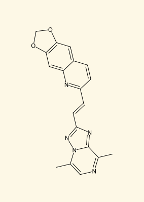 Cc1ncc(C)n2nc(C=Cc3ccc4cc5c(cc4n3)OCO5)nc12